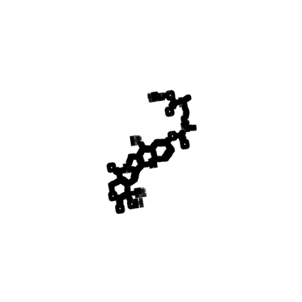 CCc1c2c(nc3ccc(OC(=O)N(C)CCN(C)C(=O)OC(C)(C)C)cc13)-c1cc3c(c(=O)n1C2)COC(=O)[C@]3(O)CC